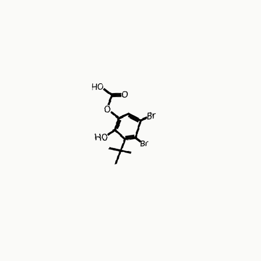 CC(C)(C)c1c(O)c(OC(=O)O)cc(Br)c1Br